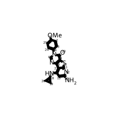 COc1ccc(-n2cnc3c(sc4nc(N)cc(NC5CC5)c43)c2=O)cc1